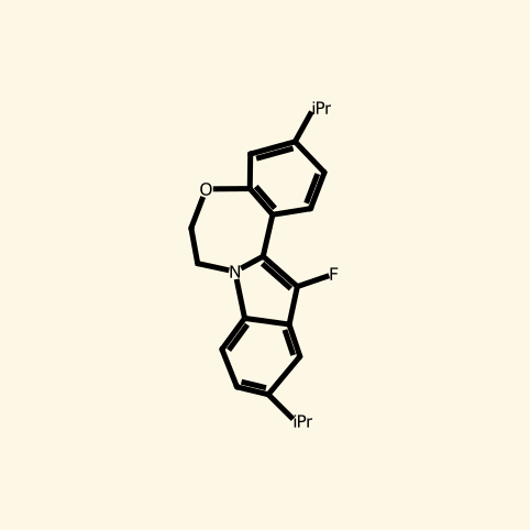 CC(C)c1ccc2c(c1)OCCn1c-2c(F)c2cc(C(C)C)ccc21